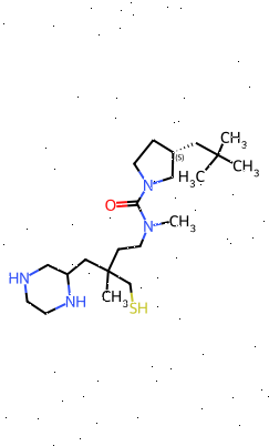 CN(CCC(C)(CS)CC1CNCCN1)C(=O)N1CC[C@H](CC(C)(C)C)C1